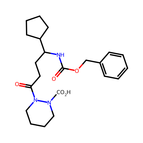 O=C(NC(CCC(=O)N1CCCCN1C(=O)O)C1CCCC1)OCc1ccccc1